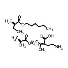 C=C(C)C(=O)OC.C=C(CC)C(=O)OCCCCCC.CC(C)=C(CCN)C(=O)O